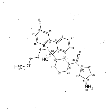 COCCCC[C@@](O)(c1ccccc1-c1cccc(F)c1)C1CCCN(C(=O)[C@@H]2CC[C@H](N)C2)C1